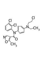 CCN(CCCl)c1ccc(N(C(=O)c2cnoc2C)c2cccc(Cl)c2Cl)cc1